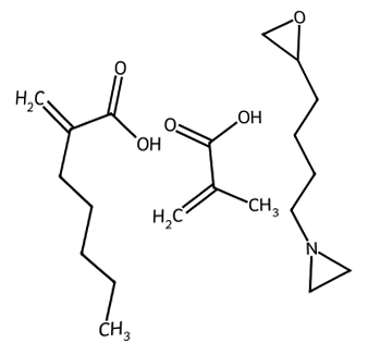 C(CCN1CC1)CC1CO1.C=C(C)C(=O)O.C=C(CCCCC)C(=O)O